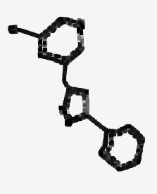 Clc1cncc(-c2cc(-c3ccccc3)on2)c1